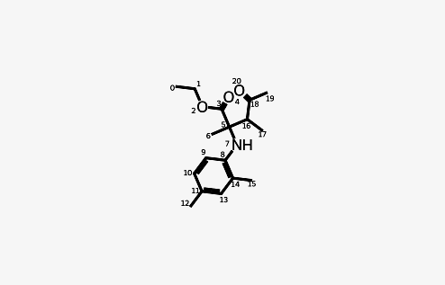 CCOC(=O)C(C)(Nc1ccc(C)cc1C)C(C)C(C)=O